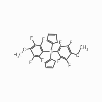 COc1c(F)c(F)[c]([Ti]([C]2=CC=CC2)([C]2=CC=CC2)[c]2c(F)c(F)c(OC)c(F)c2F)c(F)c1F